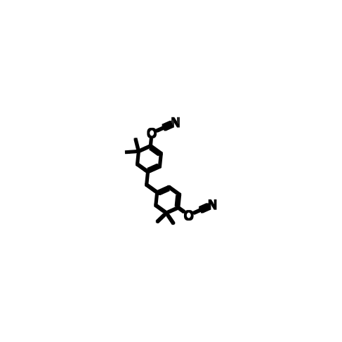 CC1(C)CC(CC2=CC=C(OC#N)C(C)(C)C2)=CC=C1OC#N